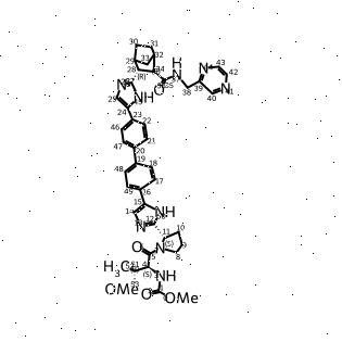 COC(=O)N[C@H](C(=O)N1CCC[C@H]1c1ncc(-c2ccc(-c3ccc(-c4cnc([C@@H]5C6CCC(C6)[C@H]5C(=O)NCc5cnccn5)[nH]4)cc3)cc2)[nH]1)[C@@H](C)OC